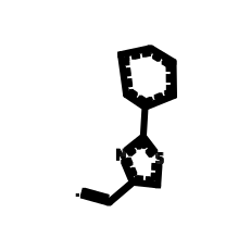 [CH]=Cc1csc(-c2ccccc2)n1